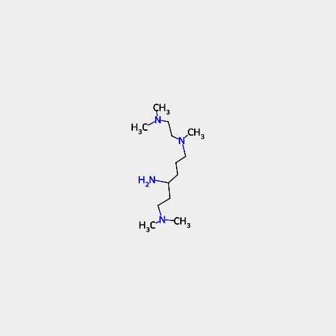 CN(C)CCC(N)CCCN(C)CCN(C)C